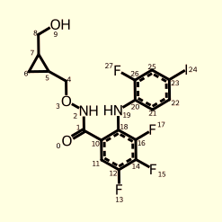 O=C(NOCC1CC1CO)c1cc(F)c(F)c(F)c1Nc1ccc(I)cc1F